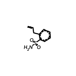 C=CCc1ccccc1S(N)(=O)=O